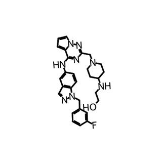 OCCNC1CCN(Cc2nc(Nc3ccc4c(cnn4Cc4cccc(F)c4)c3)c3cccn3n2)CC1